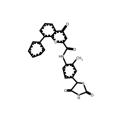 Cc1cc(C2SC(=O)NC2=O)ccc1NC(=O)c1cc(=O)c2cccc(-c3ccccc3)c2o1